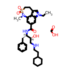 CCn1cc2c3c(cc(C(=O)N[C@@H](Cc4ccccc4)[C@H](O)CNCCC4CCCCC4)cc31)N(C)S(=O)(=O)CC2.O=CO